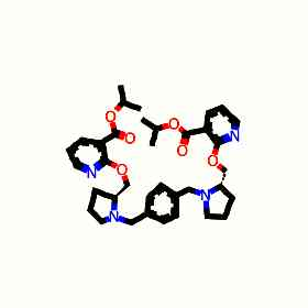 CC(C)OC(=O)c1cccnc1OC[C@@H]1CCCN1Cc1ccc(CN2CCC[C@H]2COc2ncccc2C(=O)OC(C)C)cc1